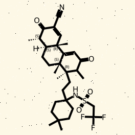 CC1C(=O)C=C2[C@@]3(C)C=C(C#N)C(=O)[C@@H](C)[C@@H]3CC[C@@]2(C)[C@]1(C)CCC1(NS(=O)(=O)CC(F)(F)F)CCC(C)(C)CC1